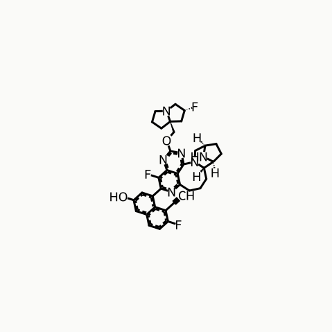 C#Cc1c(F)ccc2cc(O)cc(-c3nc4c5c(nc(OC[C@@]67CCCN6C[C@H](F)C7)nc5c3F)N3C[C@H]5CC[C@H](N5)[C@@H]3CCC4)c12